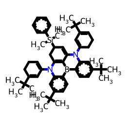 CC(C)(C)C1=CCCC(N2C3=CC([Si](C)(C)c4ccccc4)CC4=C3B(c3ccc(C(C)(C)C)cc32)c2ccc(C(C)(C)C)cc2N4C2=CCCC(C(C)(C)C)=C2)=C1